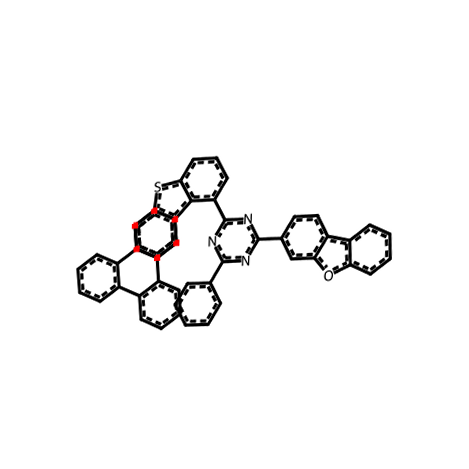 c1ccc(-c2nc(-c3ccc4c(c3)oc3ccccc34)nc(-c3cccc4sc5ccc(-c6ccccc6-c6ccccc6-c6ccccc6)cc5c34)n2)cc1